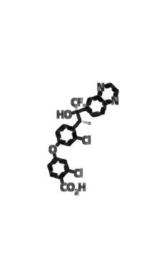 C[C@H](c1ccc(Oc2ccc(C(=O)O)c(Cl)c2)cc1Cl)[C@@](O)(c1ccc2nccnc2c1)C(F)(F)F